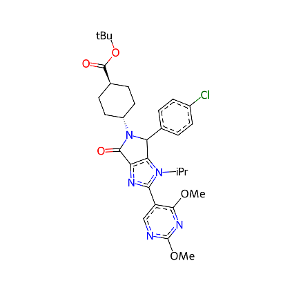 COc1ncc(-c2nc3c(n2C(C)C)C(c2ccc(Cl)cc2)N([C@H]2CC[C@H](C(=O)OC(C)(C)C)CC2)C3=O)c(OC)n1